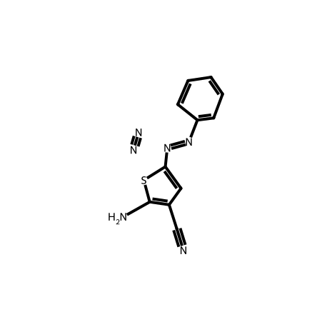 N#Cc1cc(N=Nc2ccccc2)sc1N.N#N